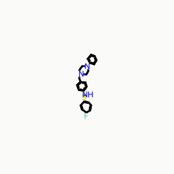 FC1C=CC=C(SNc2ccc(CN3CCN(c4ccccc4)CC3)cc2)C=C1